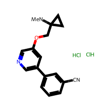 CNC1(COc2cncc(-c3cccc(C#N)c3)c2)CC1.Cl.Cl